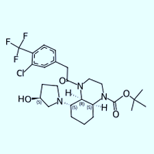 CC(C)(C)OC(=O)N1CCN(C(=O)Cc2ccc(C(F)(F)F)c(Cl)c2)[C@@H]2[C@@H](N3CC[C@H](O)C3)CCC[C@@H]21